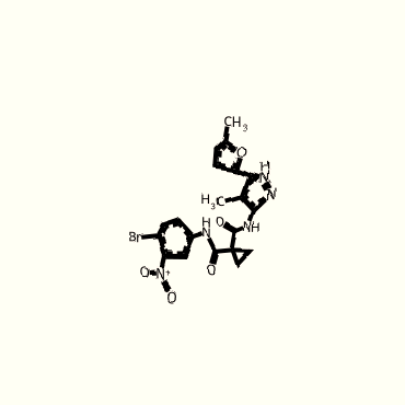 Cc1ccc(-c2[nH]nc(NC(=O)C3(C(=O)Nc4ccc(Br)c([N+](=O)[O-])c4)CC3)c2C)o1